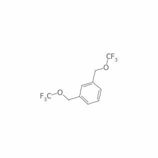 FC(F)(F)OCc1cccc(COC(F)(F)F)c1